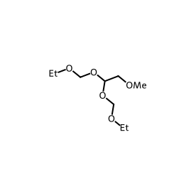 CCOCOC(COC)OCOCC